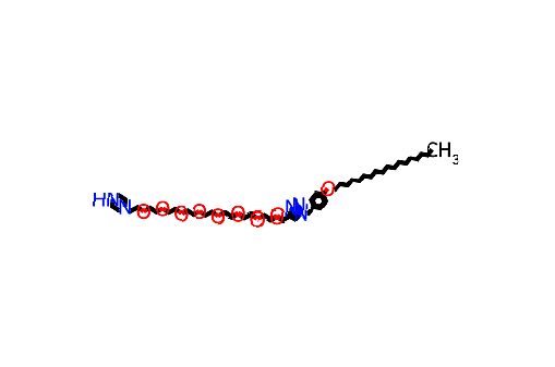 CCCCCCCCCCCCCCCCCCOc1ccc(Cn2cc(COCCOCCOCCOCCOCCOCCOCCOCCN3CCNCC3)nn2)cc1